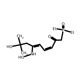 CCP(=O)(CC)CC(=O)/C=C\C=C(\CC(C)(C)O)NO